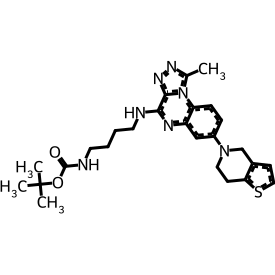 Cc1nnc2c(NCCCCNC(=O)OC(C)(C)C)nc3cc(N4CCc5sccc5C4)ccc3n12